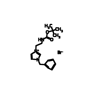 CC(C)(C)OC(=O)NCC[n+]1ccn(Cc2ccccc2)c1.[Br-]